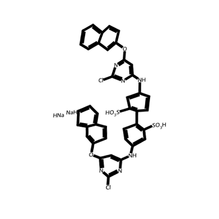 O=S(=O)(O)c1cc(Nc2cc(Oc3ccc4ccccc4c3)nc(Cl)n2)ccc1-c1ccc(Nc2cc(Oc3ccc4ccccc4c3)nc(Cl)n2)cc1S(=O)(=O)O.[NaH].[NaH]